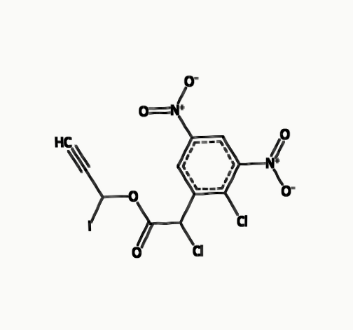 C#CC(I)OC(=O)C(Cl)c1cc([N+](=O)[O-])cc([N+](=O)[O-])c1Cl